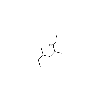 CCC(C)CC(C)NSC